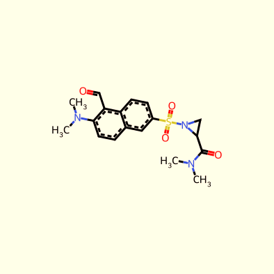 CN(C)C(=O)C1CN1S(=O)(=O)c1ccc2c(C=O)c(N(C)C)ccc2c1